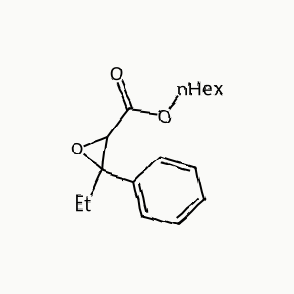 CCCCCCOC(=O)C1OC1(CC)c1ccccc1